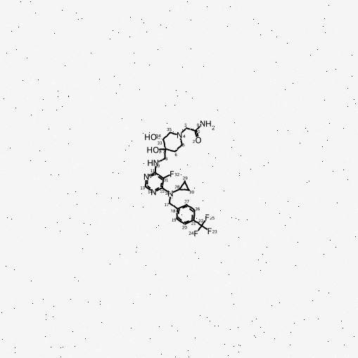 NC(=O)CN1CCC(O)(CNc2ncnc(N(Cc3ccc(C(F)(F)F)cc3)C3CC3)c2F)[C@H](O)C1